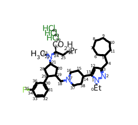 CCn1nc(CC2CCCCCC2)cc1C1CCN(CC2CC(N(C)[C@H](CC(C)C)C(=O)O)CC2c2cccc(F)c2)CC1.Cl.Cl.Cl